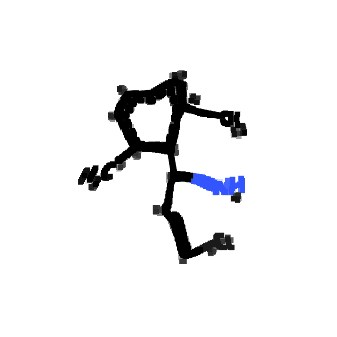 CC/C=C\C(=N)c1c(C)cccc1C